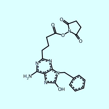 Nc1nc(CCCC(=O)ON2C(=O)CCC2=O)nc2c1nc(O)n2Cc1ccccc1